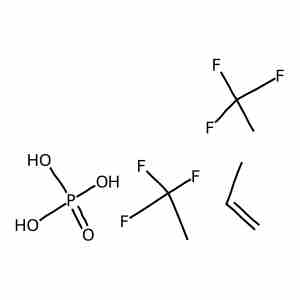 C=CC.CC(F)(F)F.CC(F)(F)F.O=P(O)(O)O